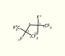 FC(F)(F)C(F)(F)CC(F)(C(F)(F)F)C(F)(F)F